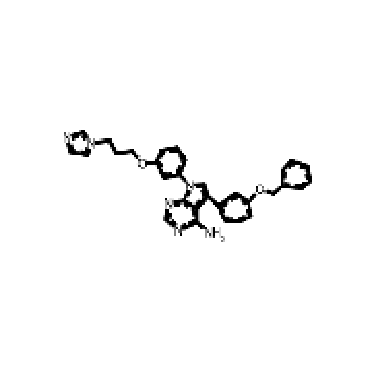 Nc1ncnc2c1c(-c1cccc(OCc3ccccc3)c1)cn2-c1cccc(OCCCn2ccnc2)c1